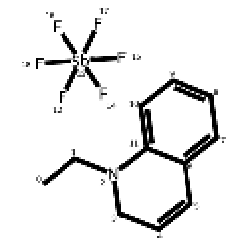 CCN1CC=Cc2ccccc21.[F][Sb-]([F])([F])([F])([F])[F]